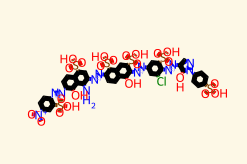 Nc1c(/N=N/c2ccc3c(O)c(/N=N/c4cc(Cl)c(/N=N/c5cnn(-c6ccc(S(=O)(=O)O)cc6)c5O)c(S(=O)(=O)O)c4)c(S(=O)(=O)O)cc3c2S(=O)(=O)O)cc(S(=O)(=O)O)c2ccc(/N=N/c3ccc([N+](=O)[O-])cc3S(=O)(=O)O)c(O)c12